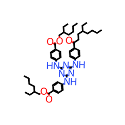 CCCCC(CC)CCC(=O)c1ccc(Nc2nc(Nc3ccc(C(=O)OCC(CC)CCCC)cc3)nc(Nc3ccc(C(=O)OCC(CC)CCCC)cc3)n2)cc1